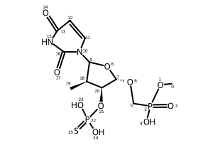 COP(=O)(O)CO[C@H]1OC(n2ccc(=O)[nH]c2=O)[C@H](C)[C@@H]1OP(O)(O)=S